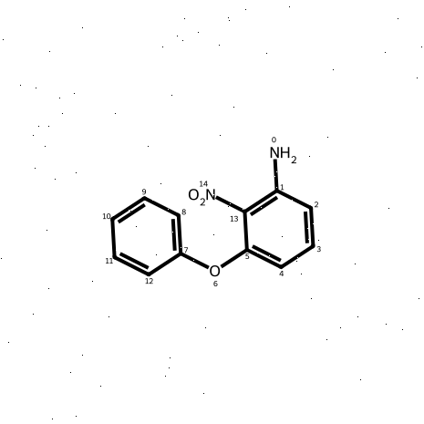 Nc1cccc(Oc2ccccc2)c1[N+](=O)[O-]